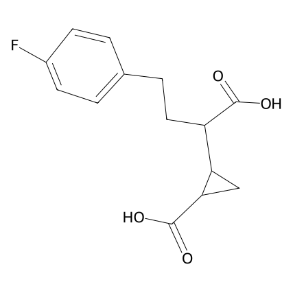 O=C(O)C(CCc1ccc(F)cc1)C1CC1C(=O)O